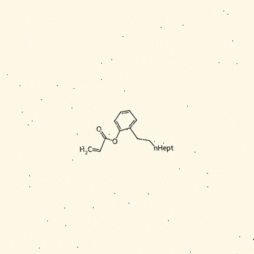 C=CC(=O)Oc1ccccc1CCCCCCCCC